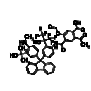 CNc1ccc(C2(c3ccc(NC(=O)c4cc(C(C)=O)c(C(=O)O)cc4OC=O)c(C(O)(C(F)(F)F)C(F)(F)F)c3)c3ccccc3-c3ccccc32)cc1C(C)(C)O